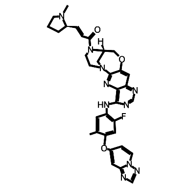 Cc1cc(Nc2ncnc3cc4c(nc23)N2CCN(C(=O)/C=C/[C@H]3CCCN3C)[C@H](CO4)C2)c(F)cc1Oc1ccn2ncnc2c1